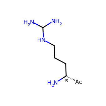 CC(=O)[C@H](N)CCCNC(N)N